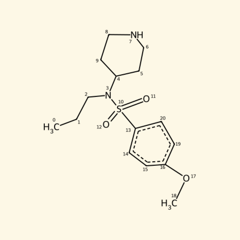 CCCN(C1CCNCC1)S(=O)(=O)c1ccc(OC)cc1